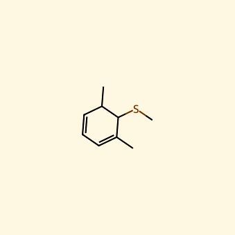 CSC1C(C)=CC=CC1C